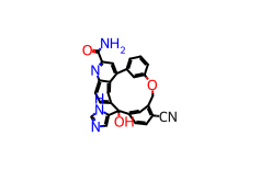 N#Cc1ccc2cc1COc1cccc(c1)-c1cc(C(N)=O)nc3ccc(cc13)C2(O)c1cnc[nH]1